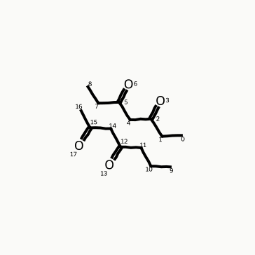 CCC(=O)CC(=O)CC.CCCC(=O)CC(C)=O